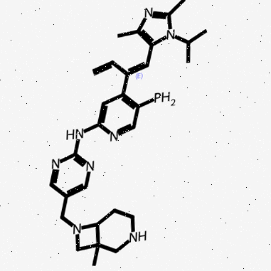 C=C/C(=C\c1c(C)nc(C)n1C(C)C)c1cc(Nc2ncc(CN3CC4(C)CNCCC34)cn2)ncc1P